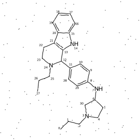 CCCN1CCC(Nc2ccc(C3c4[nH]c5ccccc5c4CCN3CCC)cc2)C1